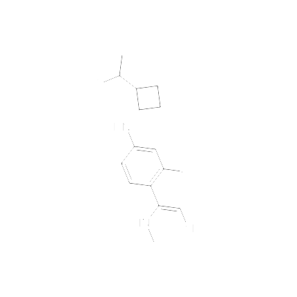 CN/C(=C\S)c1ccc(N[C@H]2CCC2C(C)F)cc1Cl